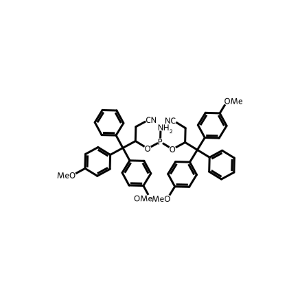 COc1ccc(C(c2ccccc2)(c2ccc(OC)cc2)C(CC#N)OP(N)OC(CC#N)C(c2ccccc2)(c2ccc(OC)cc2)c2ccc(OC)cc2)cc1